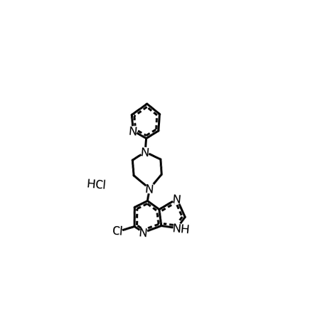 Cl.Clc1cc(N2CCN(c3ccccn3)CC2)c2nc[nH]c2n1